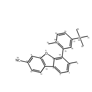 Cc1ccc2c(oc3cc(C#N)ccc32)c1-c1cc([Si](C)(C)C)cc[n+]1C